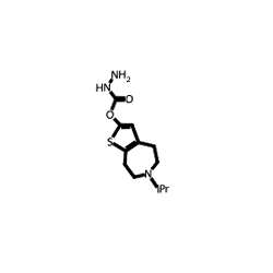 CC(C)N1CCc2cc(OC(=O)NN)sc2CC1